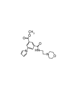 COC(=O)c1cc(C(=O)NCCN2CCOCC2)cc(-n2cccc2)c1